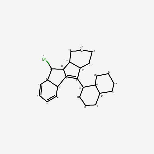 BrC1C2C=CC=CC2C2=C(C3CCCC4CCCCC43)C3CCCCC3C21